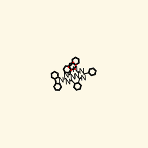 c1ccc(-c2nc(-c3ccccc3-c3nc(-c4ccccc4)nc(-n4c5ccccc5c5ccccc54)n3)nc(-n3c4ccccc4c4ccccc43)n2)cc1